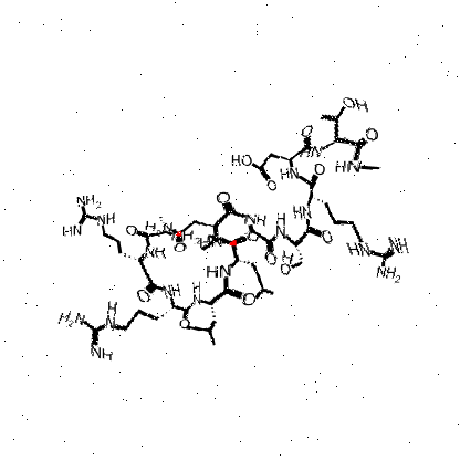 CNC(=O)[C@@H](NC(=O)[C@H](CC(=O)O)NC(=O)[C@H](CCCNC(=N)N)NC(=O)[C@H](CO)NC(=O)[C@H](CC(C)C)NC(=O)[C@H](CC(N)=O)NC(=O)[C@H](CC(C)C)NC(=O)[C@H](CC(C)C)NC(=O)[C@H](CCCNC(=N)N)NC(=O)[C@H](CCCNC(=N)N)NC(=O)[C@H](C)N)C(C)O